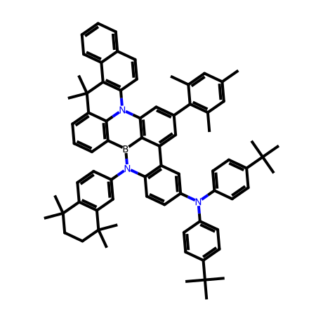 Cc1cc(C)c(-c2cc3c4c(c2)N2c5ccc6ccccc6c5C(C)(C)c5cccc(c52)B4N(c2ccc4c(c2)C(C)(C)CCC4(C)C)c2ccc(N(c4ccc(C(C)(C)C)cc4)c4ccc(C(C)(C)C)cc4)cc2-3)c(C)c1